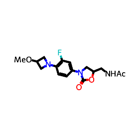 COC1CN(c2ccc(N3CC(CNC(C)=O)OC3=O)cc2F)C1